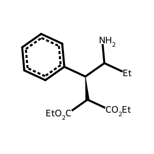 CCOC(=O)C(C(=O)OCC)[C@@H](c1ccccc1)C(N)CC